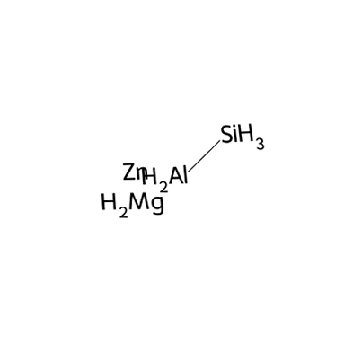 [AlH2][SiH3].[MgH2].[Zn]